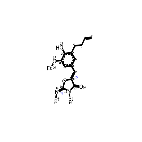 C=CCCc1cc(/C=C2\S/C(=N/CC)N(CC)C2=O)cc(OCC)c1O